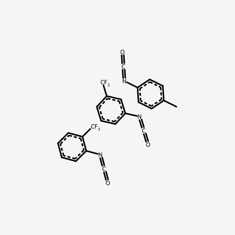 Cc1ccc(N=C=O)cc1.O=C=Nc1cccc(C(F)(F)F)c1.O=C=Nc1ccccc1C(F)(F)F